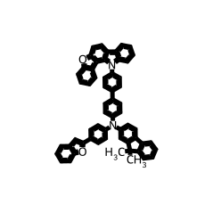 CC1(C)c2ccccc2-c2ccc(N(c3ccc(-c4ccc(-n5c6ccccc6c6ccc7oc8ccccc8c7c65)cc4)cc3)c3ccc(-c4cc5ccccc5o4)cc3)cc21